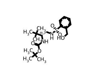 CC(C)(C)OC(=O)N[C@@H](CNS(=O)(=O)c1ccccc1CO)C(C)(C)C